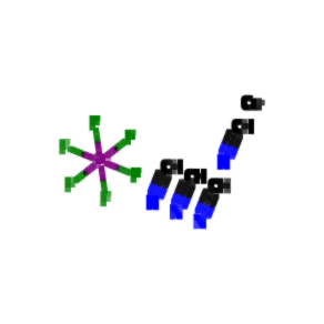 C#N.C#N.C#N.C#N.F[P-](F)(F)(F)(F)F.[Cu]